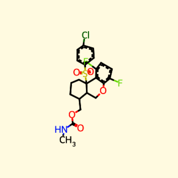 CNC(=O)OCC1CCCC2(S(=O)(=O)c3ccc(Cl)cc3)c3c(F)ccc(F)c3OCC12